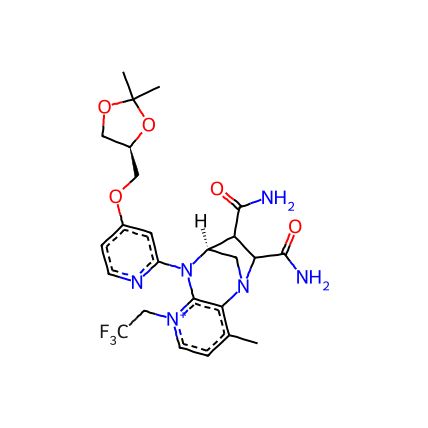 Cc1cc[n+](CC(F)(F)F)c2c1N1C[C@H](C(C(N)=O)C1C(N)=O)N2c1cc(OC[C@H]2COC(C)(C)O2)ccn1